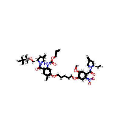 C=CCOC(=O)Nc1cc(OCCCCCOc2cc([N+](=O)[O-])c(C(=O)N3CC(=C)C[C@H]3CC)cc2OC)c(C)cc1C(=O)N1CC(=C)C[C@H]1CO[Si](C)(C)C(C)(C)C